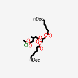 CCCCCCCCCCCCCCCC(=O)OCC(COC(=O)CCCCCCCCCCCCCCC)OC(=O)CC(C)CC(=O)OC(C)Cl